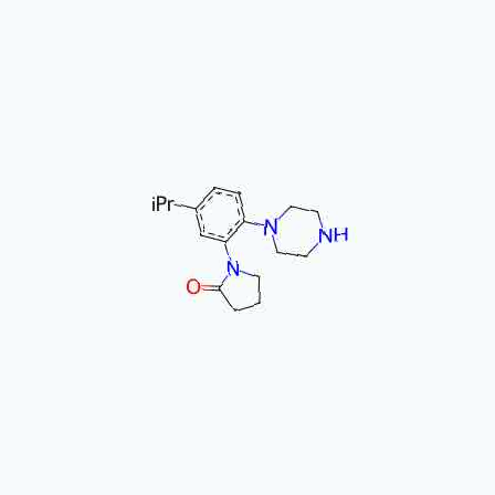 CC(C)c1ccc(N2CCNCC2)c(N2CCCC2=O)c1